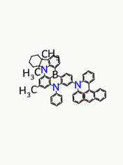 Cc1cc2c3c(c1)N1c4c(cccc4C4(C)CCCCC14C)B3c1ccc(N(c3ccccc3)c3ccccc3-c3cccc4ccccc34)cc1N2c1ccccc1